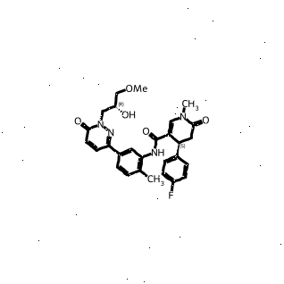 COC[C@H](O)Cn1nc(-c2ccc(C)c(NC(=O)C3=CN(C)C(=O)C[C@H]3c3ccc(F)cc3)c2)ccc1=O